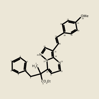 CCOC(=O)C(C)(Cc1ccccc1)c1ccnc2c(/C=C/c3ccc(OC)cc3)cnn12